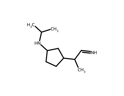 CC(C)NC1CCC(C(C)C=N)C1